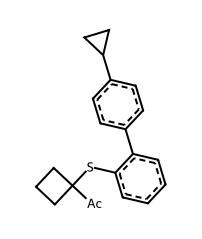 CC(=O)C1(Sc2ccccc2-c2ccc(C3CC3)cc2)CCC1